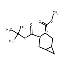 COC(=O)[C@H]1CC2CC2CN1C(=O)OC(C)(C)C